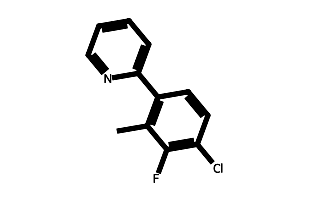 Cc1c(-c2ccccn2)ccc(Cl)c1F